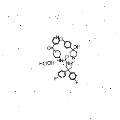 Cl.Cl.O=C(NCC(CCCN1CCC(O)(c2ccc(Cl)cc2)CC1)(c1ccc(F)cc1)c1ccc(F)cc1)NC1CCN(C(=O)c2ccncc2)CC1